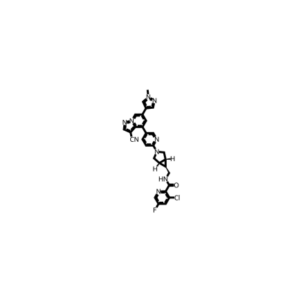 Cn1cc(-c2cc(-c3ccc(N4C[C@@H]5[C@@H](CNC(=O)c6ncc(F)cc6Cl)[C@@H]5C4)nc3)c3c(C#N)cnn3c2)cn1